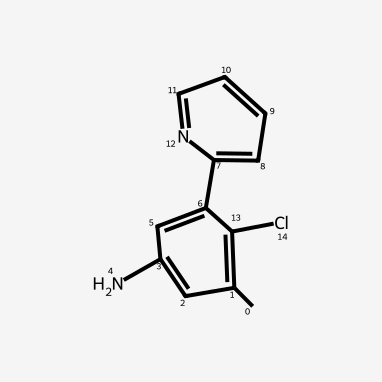 Cc1cc(N)cc(-c2ccccn2)c1Cl